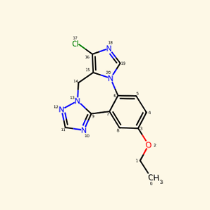 CCOc1ccc2c(c1)-c1ncnn1Cc1c(Cl)ncn1-2